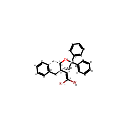 C[C@H](O[Si](c1ccccc1)(c1ccccc1)C(C)(C)C)[C@@H](C=C(Br)Br)Cc1ccccc1